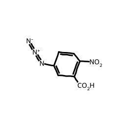 [N-]=[N+]=Nc1ccc([N+](=O)[O-])c(C(=O)O)c1